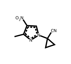 Cc1nn(C2(C#N)CC2)cc1[N+](=O)[O-]